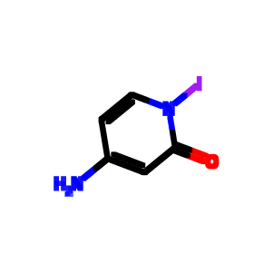 Nc1ccn(I)c(=O)c1